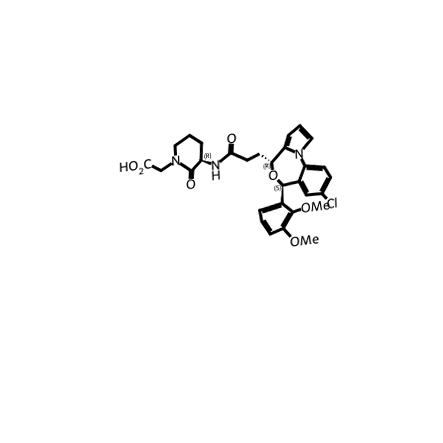 COc1cccc([C@H]2O[C@H](CCC(=O)N[C@@H]3CCCN(CC(=O)O)C3=O)c3cccn3-c3ccc(Cl)cc32)c1OC